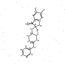 Cc1cc2c(cc1C)C(=O)C(F)(CC1CCN(Cc3ccccc3)CC1)C2